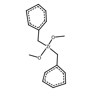 C[O][Zr]([CH2]c1ccccc1)([CH2]c1ccccc1)[O]C